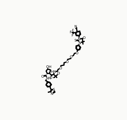 Cc1ncsc1-c1ccc(CNC(=O)[C@@H]2C[C@@H](O)CC2C(=O)C(NC(=O)COCCCOCCOCCOc2ccc(N3C(=S)N(c4ccc(C#N)c(C(F)(F)F)c4)C(=O)C3(C)C)cc2)C(C)(C)C)cc1